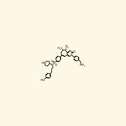 CC1CC(c2ccc(S(=O)(=O)N(CCCc3ccc(O)cc3)C3CCNCC3)cc2)=Cc2cn(-c3ccc(CN)cc3)c(=O)nc2C1C